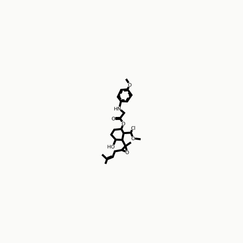 COc1ccc(NCC(=O)OC2CCC(O)C(C3(C)OC3CC=C(C)C)C2C(Cl)OC)cc1